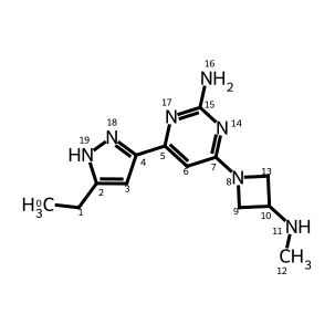 CCc1cc(-c2cc(N3CC(NC)C3)nc(N)n2)n[nH]1